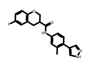 Cc1cc(NC(=O)C2COc3ccc(F)cc3C2)ccc1-c1cn[nH]c1